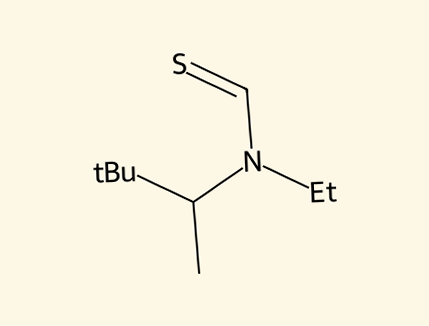 CCN(C=S)C(C)C(C)(C)C